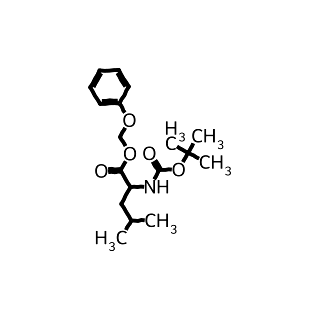 CC(C)CC(NC(=O)OC(C)(C)C)C(=O)OCOc1ccccc1